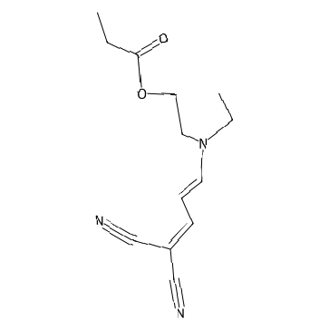 CCC(=O)OCCN(/C=C/C=C(C#N)C#N)CC